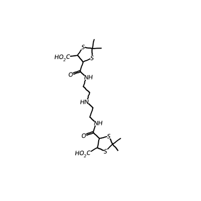 CC1(C)SC(C(=O)O)C(C(=O)NCCNCCNC(=O)C2SC(C)(C)SC2C(=O)O)S1